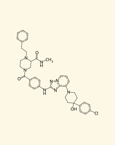 CNC(=O)C1CN(C(=O)c2ccc(Nc3nc4c(N5CCC(O)(c6ccc(Cl)cc6)CC5)cccn4n3)cc2)CCN1CCc1ccccc1